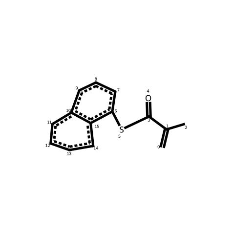 C=C(C)C(=O)Sc1cccc2ccccc12